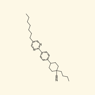 CCCCCCCc1cnc(-c2ccc(C3CCC(C#N)(CCCC)CC3)cc2)nc1